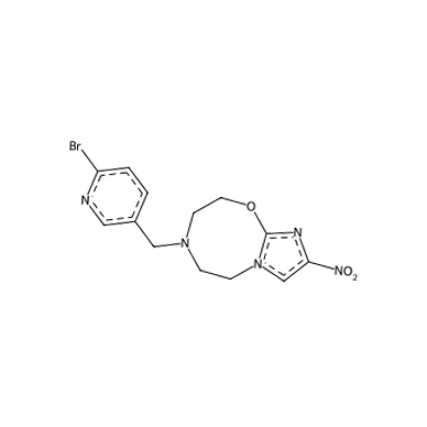 O=[N+]([O-])c1cn2c(n1)OCCN(Cc1ccc(Br)nc1)CC2